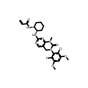 C=CC(=O)N[C@H]1CCCC[C@H]1Nc1ncc2c(n1)N(C)C(=O)N(c1c(F)c(OC)cc(OC)c1Cl)C2